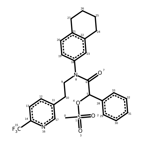 CS(=O)(=O)OC(C(=O)N(CCc1ccc(C(F)(F)F)nc1)c1ccc2c(c1)CCCC2)c1ccccc1